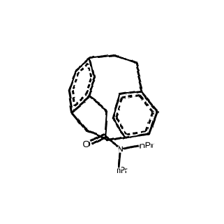 CCCN(CCC)C(=O)Cc1cc2ccc1CCc1ccc(cc1)CC2